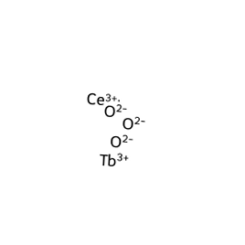 [Ce+3].[O-2].[O-2].[O-2].[Tb+3]